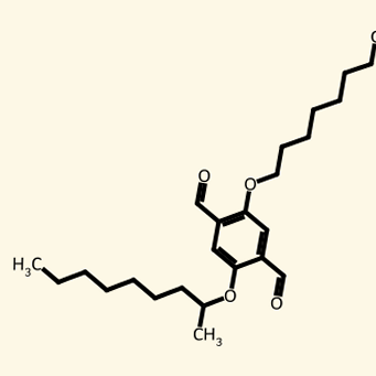 CCCCCCCCOc1cc(C=O)c(OC(C)CCCCCCC)cc1C=O